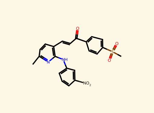 Cc1ccc(C=CC(=O)c2ccc(S(C)(=O)=O)cc2)c(Nc2cccc([N+](=O)[O-])c2)n1